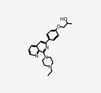 CCN1CCN(c2nc(-c3ccc(OCC(C)O)cc3)cc3cccnc23)CC1